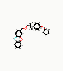 CC(C)(COCc1ccc(F)c(Oc2ccccc2)c1)c1ccc(OC2CCCC2)cc1